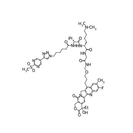 CC[C@@]1(O)C(=O)OCc2c1cc1n(c2=O)Cc2c-1nc1cc(F)c(C)cc1c2CCCOCNC(=O)CNC(=O)[C@H](CCCCN(C)C)NC(=O)[C@@H](NC(=O)CCCCCn1cc(-c2cnc(S(C)(=O)=O)nc2)nn1)C(C)C